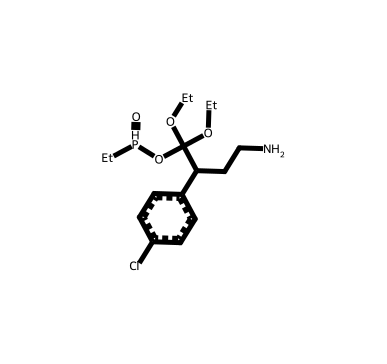 CCOC(OCC)(O[PH](=O)CC)C(CCN)c1ccc(Cl)cc1